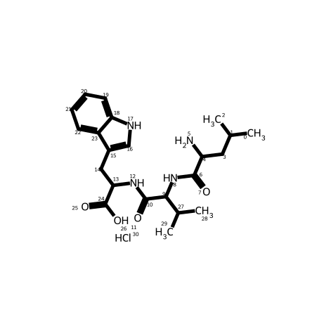 CC(C)CC(N)C(=O)NC(C(=O)NC(Cc1c[nH]c2ccccc12)C(=O)O)C(C)C.Cl